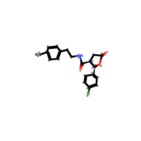 O=C1C[C@H](C(=O)NCCc2ccc([N+](=O)[O-])cc2)[C@@H](c2ccc(Cl)cc2)O1